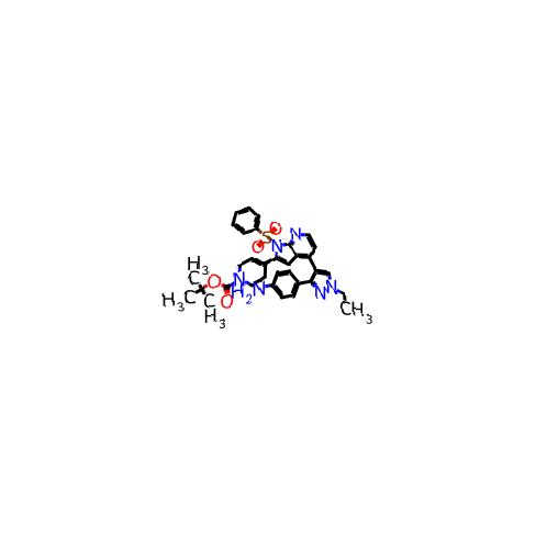 CCn1cc(-c2ccnc3c2cc(C2=CCN(C(=O)OC(C)(C)C)CC2)n3S(=O)(=O)c2ccccc2)c(-c2ccc(N)cc2)n1